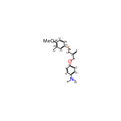 C=C(COc1ccc(N(C)C)cc1)CSc1ccc(OC)c(C)c1